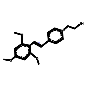 COc1cc(OC)c(/C=C/c2cc[n+](CCS)cc2)c(OC)c1